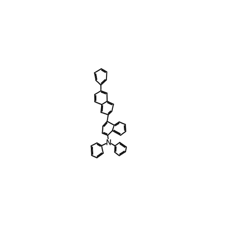 c1ccc(-c2ccc3cc(-c4ccc(N(c5ccccc5)c5ccccc5)c5ccccc45)ccc3c2)cc1